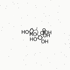 CC(CC(O)c1c(O)cc(O)cc1OP(=O)(O)O)c1ccc(O)cc1